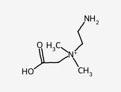 C[N+](C)(CCN)CC(=O)O